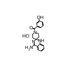 Cl.NC1=NC2(CCN(C(=O)c3cccc(O)c3)CC2)Nc2ccccc21